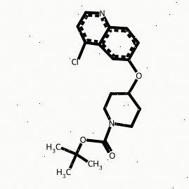 CC(C)(C)OC(=O)N1CCC(Oc2ccc3nccc(Cl)c3c2)CC1